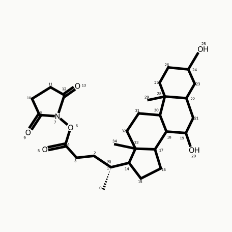 C[C@H](CCC(=O)ON1C(=O)CCC1=O)C1CCC2C3C(O)CC4CC(O)CCC4(C)C3CCC21C